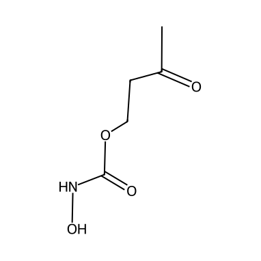 CC(=O)CCOC(=O)NO